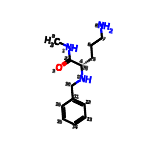 CNC(=O)[C@H](CCCN)NCc1ccccc1